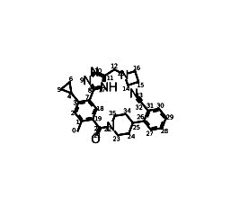 Cc1cc(C2CC2)c(-c2nnc(CN3CCC3)[nH]2)cc1C(=O)N1CCC(c2ccccc2C#N)CC1